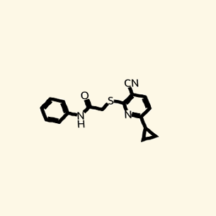 N#Cc1ccc(C2CC2)nc1SCC(=O)Nc1ccccc1